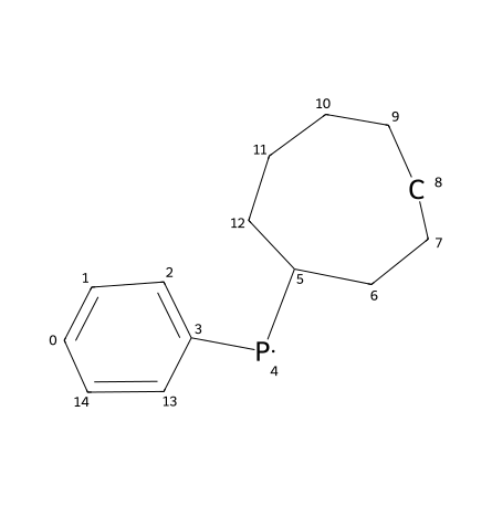 c1ccc([P]C2CCCCCCC2)cc1